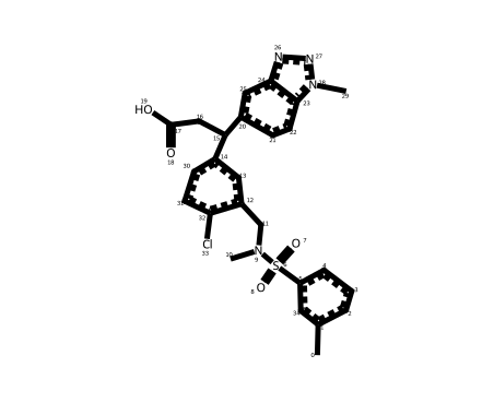 Cc1cccc(S(=O)(=O)N(C)Cc2cc(C(CC(=O)O)c3ccc4c(c3)nnn4C)ccc2Cl)c1